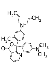 C=CCN(CC=C)c1ccc(C2(c3ccc(N(C)C)cc3)OC(=O)c3cccnc32)c(C)c1